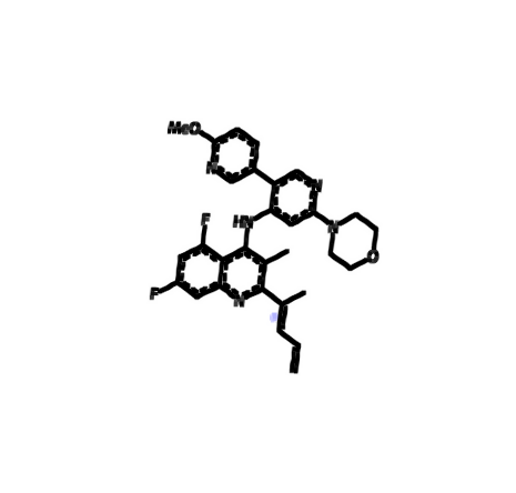 C=C/C=C(\C)c1nc2cc(F)cc(F)c2c(Nc2cc(N3CCOCC3)ncc2-c2ccc(OC)nc2)c1C